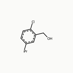 CC(C)c1ccc(Cl)c(CO)c1